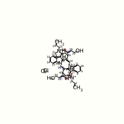 C=CC[N+]12CCC34c5ccccc5N5C=C6C7C[C@H]8C9(CC[N+]8(CC=C)C/C7=C/CO)c7ccccc7N(/C=C(/C(C[C@@H]31)/C(=C\CO)C2)[C@H]54)[C@@H]69.[Cl-].[Cl-]